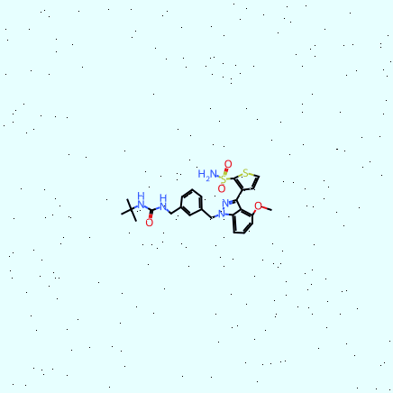 COc1cccc2c1c(-c1ccsc1S(N)(=O)=O)nn2Cc1cccc(CNC(=O)NC(C)(C)C)c1